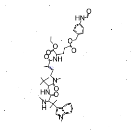 CCOC(=O)C(CCC(=O)OCc1ccc(NC=O)cc1)NC(=O)/C(C)=C/CN(C)C(=O)C(NC(=O)C(NC)C(C)(C)c1cn(C)c2ccccc12)C(C)(C)C